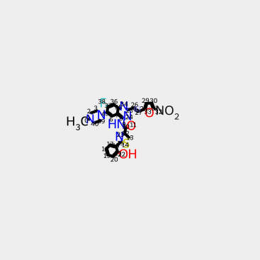 CN1CCN(c2cc3c(NC(=O)C4CSC(c5ccccc5O)=N4)nc(/C=C/c4ccc([N+](=O)[O-])o4)nc3cc2F)CC1